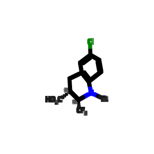 CCN1c2ccc(Cl)cc2C[C@@H](C(=O)O)[C@H]1C(F)(F)F